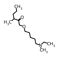 CCCC(C)C(=O)COCCCCCN(C)CC